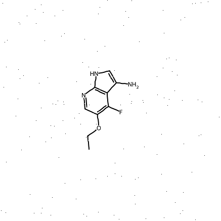 CCOc1cnc2[nH]cc(N)c2c1F